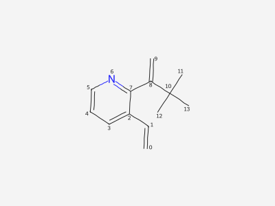 C=Cc1cccnc1C(=C)C(C)(C)C